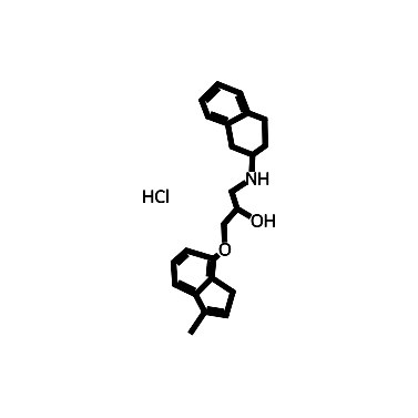 CC1=CCc2c(OCC(O)CNC3CCc4ccccc4C3)cccc21.Cl